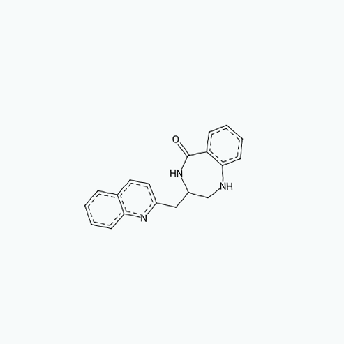 O=C1NC(Cc2ccc3ccccc3n2)CNc2ccccc21